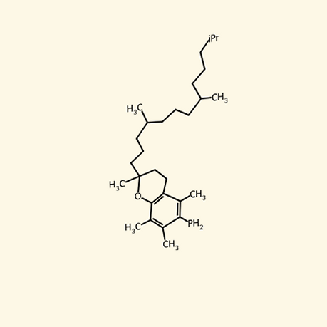 Cc1c(C)c2c(c(C)c1P)CCC(C)(CCCC(C)CCCC(C)CCCC(C)C)O2